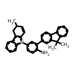 CC1C=Cc2c(c3ccccc3n2-c2ccc(N)c(-c3ccc4c(c3)C(C)(C)c3ccccc3-4)c2)C1